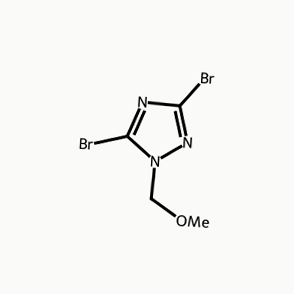 COCn1nc(Br)nc1Br